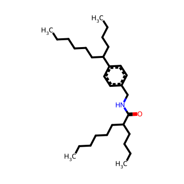 CCCCCCC(CCCC)C(=O)NCc1ccc(C(CCCC)CCCCCC)cc1